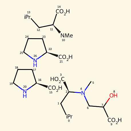 CC(C)C[C@@H](C(=O)O)N(C)CC(O)C(=O)O.CN[C@@H](CC(C)C)C(=O)O.O=C(O)[C@@H]1CCCN1.O=C(O)[C@@H]1CCCN1